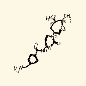 C[C@H]1OC[C@@H](n2ccc(NC(=O)c3ccc(CN)cc3)nc2=O)C[C@H]1O